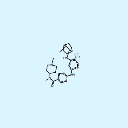 CC1C2CCC(CC2)C1Nc1nc(Nc2ccc(C(=O)N(C)C3CCN(C)CC3)cc2)ncc1C(F)(F)F